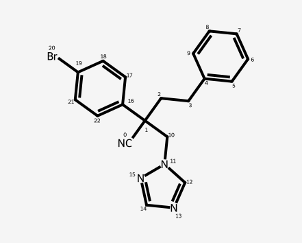 N#CC(CCc1ccccc1)(Cn1cncn1)c1ccc(Br)cc1